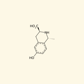 C[C@H]1N[C@H](C(=O)O)Cc2cc(O)ccc21